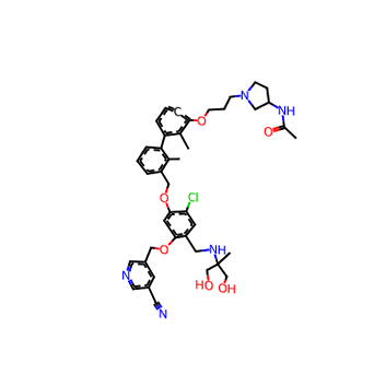 CC(=O)NC1CCN(CCCOc2cccc(-c3cccc(COc4cc(OCc5cncc(C#N)c5)c(CNC(C)(CO)CO)cc4Cl)c3C)c2C)C1